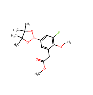 COC(=O)Cc1cc(B2OC(C)(C)C(C)(C)O2)cc(F)c1OC